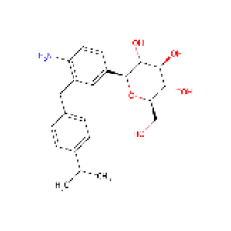 CC(C)c1ccc(Cc2cc([C@@H]3O[C@H](CO)[C@@H](O)[C@H](O)[C@H]3O)ccc2N)cc1